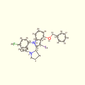 O=CN1CCCC1c1c(I)c2c(OCc3ccccc3)cccc2n1-c1ccc(F)cc1